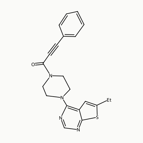 CCc1cc2c(N3CCN(C(=O)C#Cc4ccccc4)CC3)ncnc2s1